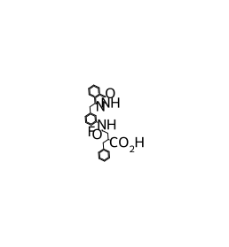 O=C(CC(Cc1ccccc1)C(=O)O)Nc1cc(Cc2n[nH]c(=O)c3ccccc23)ccc1F